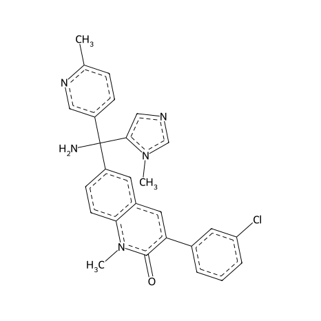 Cc1ccc(C(N)(c2ccc3c(c2)cc(-c2cccc(Cl)c2)c(=O)n3C)c2cncn2C)cn1